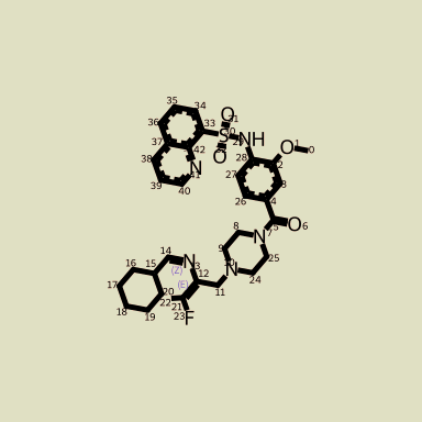 COc1cc(C(=O)N2CCN(CC(/N=C\C3CCCCC3)=C(/C)F)CC2)ccc1NS(=O)(=O)c1cccc2cccnc12